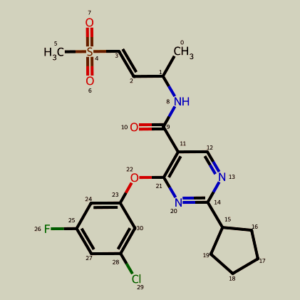 CC(C=CS(C)(=O)=O)NC(=O)c1cnc(C2CCCC2)nc1Oc1cc(F)cc(Cl)c1